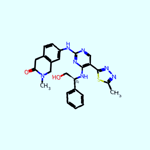 Cc1nnc(-c2cnc(Nc3ccc4c(c3)CN(C)C(=O)C4)nc2N[C@H](CO)c2ccccc2)s1